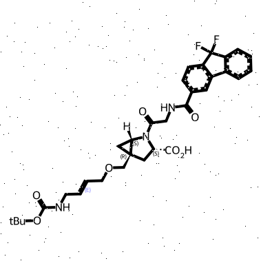 CC(C)(C)OC(=O)NC/C=C/COC[C@@]12C[C@@H]1N(C(=O)CNC(=O)c1ccc3c(c1)-c1ccccc1C3(F)F)[C@H](C(=O)O)C2